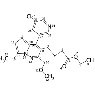 CCOC(=O)CCCc1c(COC)nn2c(CC)ccc2c1-c1cncc(Cl)c1